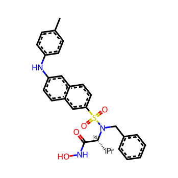 Cc1ccc(Nc2ccc3cc(S(=O)(=O)N(Cc4ccccc4)[C@@H](C(=O)NO)C(C)C)ccc3c2)cc1